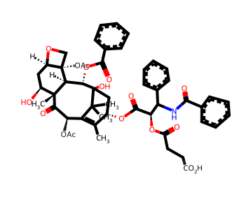 CC(=O)O[C@H]1C(=O)[C@@]2(C)[C@H]([C@H](OC(=O)c3ccccc3)[C@]3(O)C[C@H](OC(=O)[C@H](OC(=O)CCC(=O)O)C(NC(=O)c4ccccc4)c4ccccc4)C(C)=C1C3(C)C)[C@]1(OC(C)=O)CO[C@@H]1C[C@@H]2O